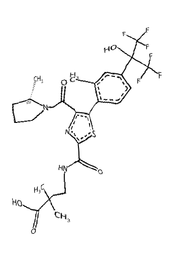 Cc1cc(C(O)(C(F)(F)F)C(F)(F)F)ccc1-c1sc(C(=O)NCC(C)(C)C(=O)O)nc1C(=O)N1CCC[C@@H]1C